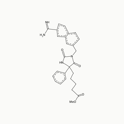 COC(=O)CCCCC1(c2ccccc2)NC(=O)N(Cc2ccc3ccc(C(=N)N)cc3c2)C1=O